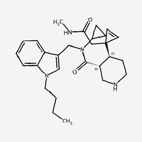 CCCCn1cc(CN(C(=O)[C@H]2CNCC[C@@H]2C2(CC(=O)NC)C=C2)C2CC2)c2ccccc21